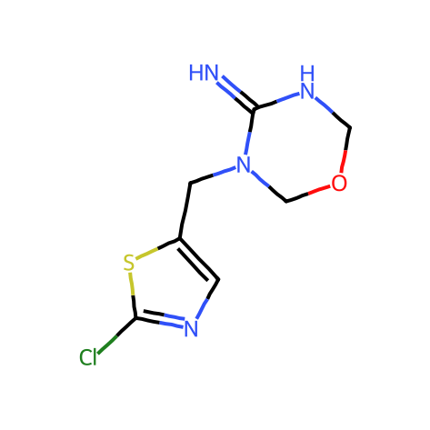 N=C1NCOCN1Cc1cnc(Cl)s1